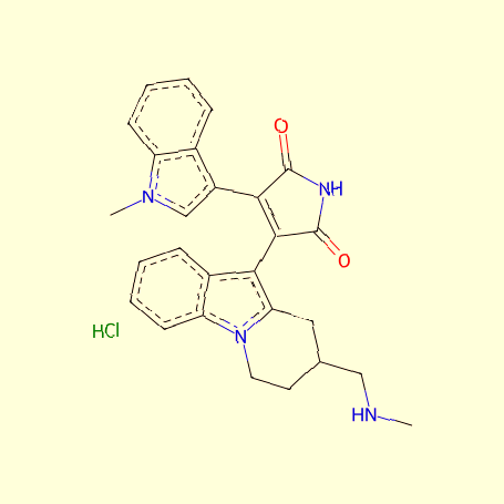 CNCC1CCn2c(c(C3=C(c4cn(C)c5ccccc45)C(=O)NC3=O)c3ccccc32)C1.Cl